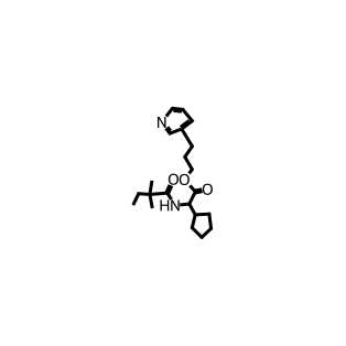 CCC(C)(C)C(=O)NC(C(=O)OCCCc1cccnc1)C1CCCC1